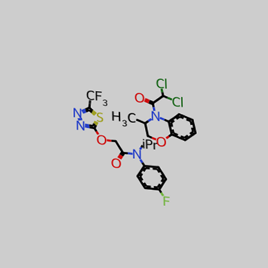 CC(C)N(C(=O)COc1nnc(C(F)(F)F)s1)c1ccc(F)cc1.CC1COc2ccccc2N1C(=O)C(Cl)Cl